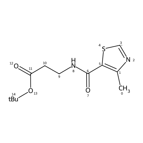 Cc1n[c]sc1C(=O)NCCC(=O)OC(C)(C)C